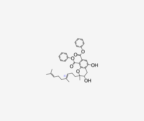 CC(C)=CCC/C(C)=C/CCC1(C)Oc2c(c(O)cc(C(=O)Oc3ccccc3)c2C(=O)Oc2ccccc2)CC1O